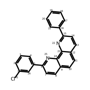 Clc1cccc(-c2ccc3ccc4ccc(-c5ccccc5)nc4c3n2)c1